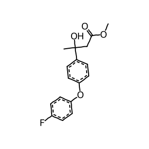 COC(=O)CC(C)(O)c1ccc(Oc2ccc(F)cc2)cc1